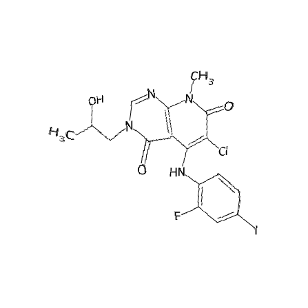 CC(O)Cn1cnc2c(c(Nc3ccc(I)cc3F)c(Cl)c(=O)n2C)c1=O